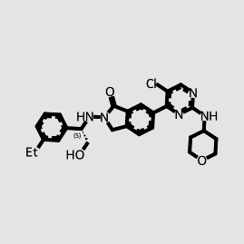 CCc1cccc([C@@H](CO)NN2Cc3ccc(-c4nc(NC5CCOCC5)ncc4Cl)cc3C2=O)c1